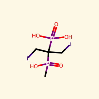 CP(=O)(O)C(CI)(CI)P(=O)(O)O